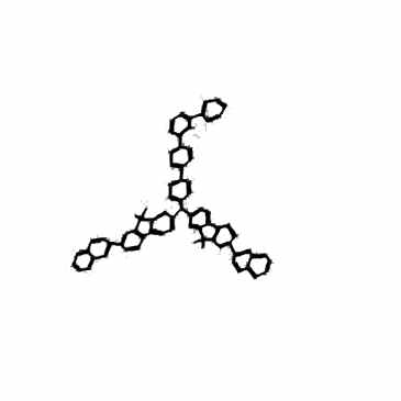 CC1(C)c2cc(-c3ccc4ccccc4c3)ccc2-c2ccc(C(c3ccc(-c4ccc(-c5cccc6c5oc5ccccc56)cc4)cc3)c3ccc4c(c3)C(C)(C)c3cc(-c5ccc6ccccc6c5)ccc3-4)cc21